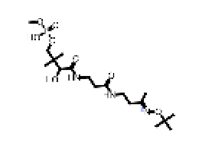 COP(=O)(O)OCC(C)(C)C(O)C(=O)NCCC(=O)NCC/C(C)=N/OC(C)(C)C